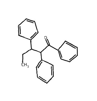 CCC(c1ccccc1)C(C(=O)c1ccccc1)c1ccccc1